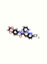 O=C(CCc1ccc(C(F)(F)F)nc1N1CCCCC1)Nc1ccc2c(c1)OCCO2